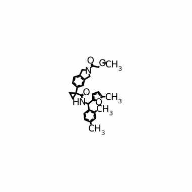 COCC(=O)N1Cc2ccc(C3(C(=O)NC(c4ccc(C)o4)c4ccc(C)cc4C)CC3)cc2C1